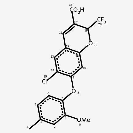 COc1cc(C)ccc1Oc1cc2c(cc1Cl)C=C(C(=O)O)C(C(F)(F)F)O2